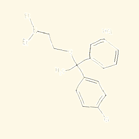 CCN(CC)CCOC(C)(c1ccccc1)c1ccc(Cl)cc1.Cl